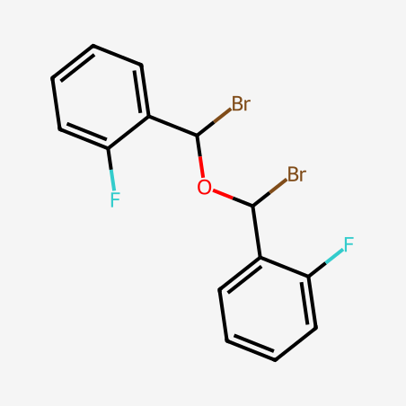 Fc1ccccc1C(Br)OC(Br)c1ccccc1F